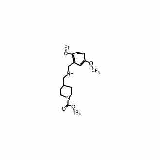 CCOc1ccc(OC(F)(F)F)cc1CNCC1CCN(C(=O)OC(C)(C)C)CC1